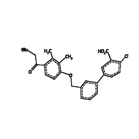 Cc1c(OCc2cccc(-c3ccc(Cl)c(C(=O)O)c3)c2)ccc(C(=O)CC(C)(C)C)c1C